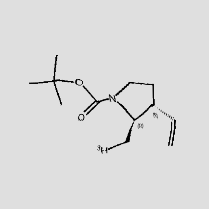 [3H]C[C@@H]1[C@@H](C=C)CCN1C(=O)OC(C)(C)C